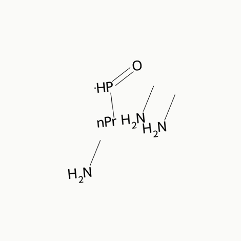 CCC[PH]=O.CN.CN.CN